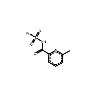 Cc1cccc(C(=O)NS(=O)(=O)C(C)C)n1